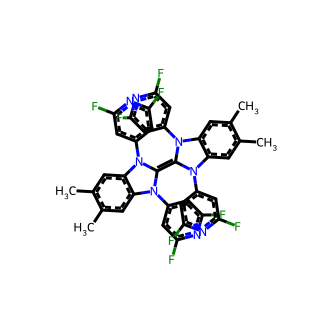 Cc1cc2c(cc1C)N(c1cc(F)nc(F)c1)C(=C1N(c3cc(F)nc(F)c3)c3cc(C)c(C)cc3N1c1cc(F)nc(F)c1)N2c1cc(F)nc(F)c1